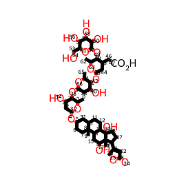 CC1OC(OC2CCC3(C)C(CCC4C3CC(O)C3(C)C(C5=CC(=O)OC5)CCC43O)C2)CC(O)C1OC1CC(O)C(OC2CC(CC(=O)O)C(OC3OC(CO)C(O)C(O)C3O)C(C)O2)C(C)O1